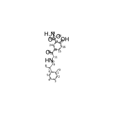 Cc1ccccc1C(C)CNCC(=O)c1ccc(O)c(S(N)(=O)=O)c1